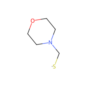 [S]CN1CCOCC1